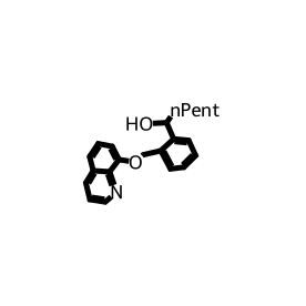 CCCCCC(O)c1ccccc1COc1cccc2cccnc12